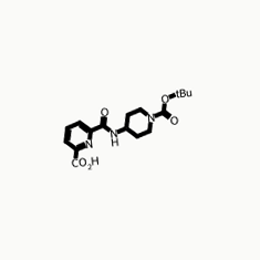 CC(C)(C)OC(=O)N1CCC(NC(=O)c2cccc(C(=O)O)n2)CC1